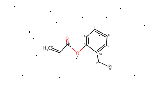 C=CC(=O)Oc1ccccc1CC(C)C